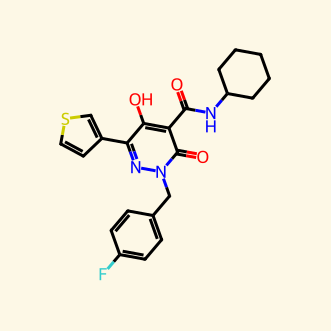 O=C(NC1CCCCC1)c1c(O)c(-c2ccsc2)nn(Cc2ccc(F)cc2)c1=O